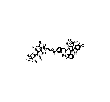 CNN(C(=O)[C@H](C)C(=O)OC(C)(C)C)[C@H](C(=O)OCCOC(=O)c1ccc(NC(=O)[C@@H]2N[C@@H](CC(C)(C)C)[C@](C#N)(c3ccc(Cl)cc3F)[C@H]2c2cccc(Cl)c2F)c(OC)c1)C(C)C